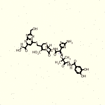 CC(C)(O/N=C(\C(=O)N[C@@H]1C(=O)N2C(C(=O)O)=C(CSc3cc(C(=O)NO)nc4nc(CO)nn34)CS[C@H]12)c1csc(N)n1)C(=O)NNC(=O)c1ccc(O)c(O)c1